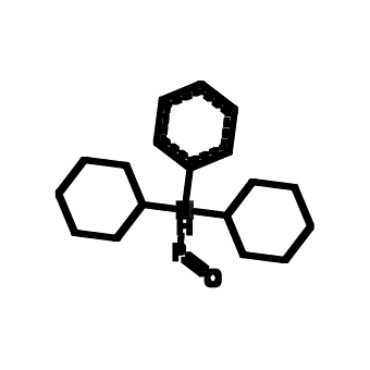 O=[P][BiH]([c]1ccccc1)([CH]1CCCCC1)[CH]1CCCCC1